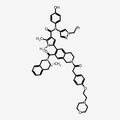 Cc1c(C(=O)N(c2ccc(O)cc2)c2cnn(CC(C)C)c2)cc(-c2cc3c(cc2C(=O)N2Cc4ccccc4C[C@H]2C)CN(C(=O)Cc2ccc(OCCN4CCOCC4)cc2)CC3)n1C